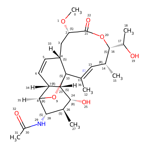 CO[C@H]1C[C@H]2C=C[C@H]3[C@H]4O[C@]2(/C(C)=C/[C@@H](C)[C@@H](C(C)O)OC1=O)[C@@H]3[C@H](O)[C@@H](C)[C@@H]4NC(C)=O